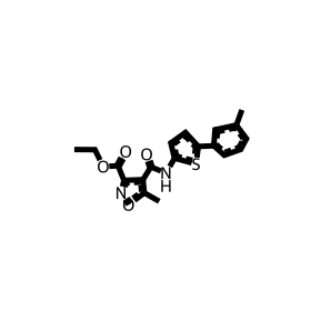 CCOC(=O)c1noc(C)c1C(=O)Nc1ccc(-c2cccc(C)c2)s1